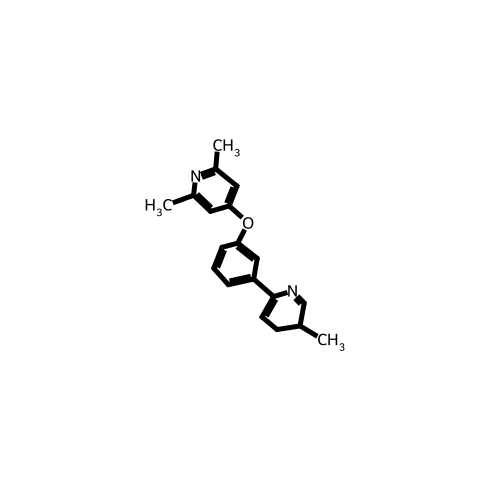 Cc1cc(Oc2cccc(C3=CCC(C)C=N3)c2)cc(C)n1